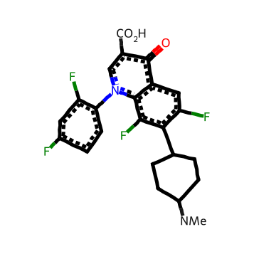 CNC1CCC(c2c(F)cc3c(=O)c(C(=O)O)cn(-c4ccc(F)cc4F)c3c2F)CC1